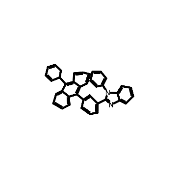 C1=CCC(c2c3ccccc3c(-c3cccc(-c4nc5ccccc5n4-c4ccccc4)c3)c3ccccc23)C=C1